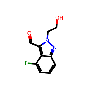 O=Cc1c2c(F)cccc2nn1CCO